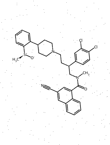 CN(CC(CCN1CCC(c2ccccc2[S@+](C)[O-])CC1)c1ccc(Cl)c(Cl)c1)C(=O)c1cc(C#N)cc2ccccc12